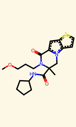 COCCCN1C(=O)c2cc3sccc3n2CC1(C)C(=O)NC1CCCC1